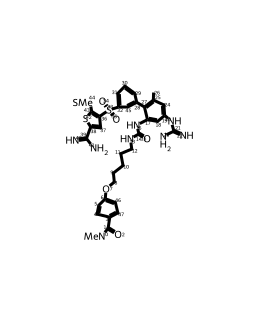 CNC(=O)c1ccc(OCCCCCNC(=O)Nc2cc(NC(=N)N)cc(C)c2-c2cccc(S(=O)(=O)c3cc(C(=N)N)sc3SC)c2)cc1